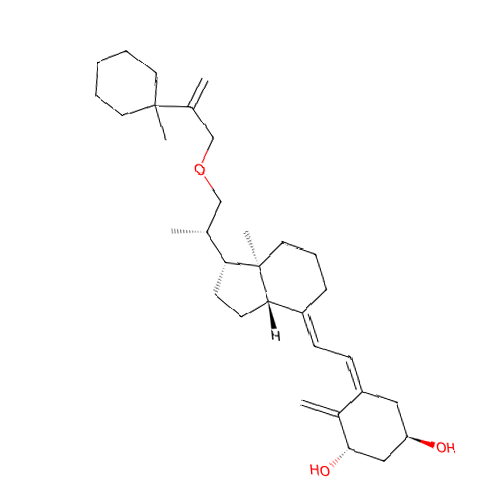 C=C1/C(=C\C=C2/CCC[C@]3(C)[C@@H]([C@H](C)COCC(=C)C4(C)CCCCC4)CC[C@@H]23)C[C@@H](O)C[C@@H]1O